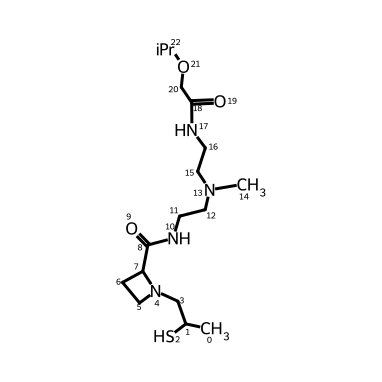 CC(S)CN1CCC1C(=O)NCCN(C)CCNC(=O)COC(C)C